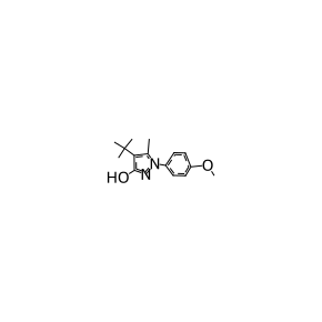 COc1ccc(-n2nc(O)c(C(C)(C)C)c2C)cc1